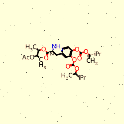 CC(=O)OC(C)C(C)OC(=O)[C@@H](N)Cc1ccc(OC(=O)O[C@@H](C)C(C)C)c(OC(=O)OC(C)C(C)C)c1